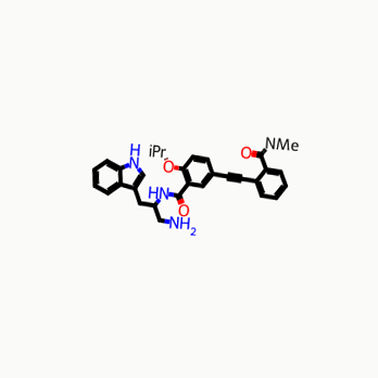 CNC(=O)c1ccccc1C#Cc1ccc(OC(C)C)c(C(=O)NC(CN)Cc2c[nH]c3ccccc23)c1